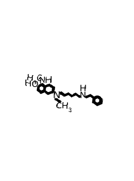 CCCN(CCCCCCNCCc1ccccc1)C1CCc2c(ccc(O)c2NC)C1